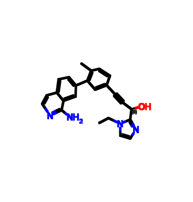 CCn1ccnc1[C@H](O)C#Cc1ccc(C)c(-c2ccc3ccnc(N)c3c2)c1